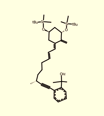 C=C1C(=CC=CCCC[C@@H](C)C#Cc2ccccc2C(C)(C)O)C[C@@H](O[Si](C)(C)C(C)(C)C)C[C@@H]1O[Si](C)(C)C(C)(C)C